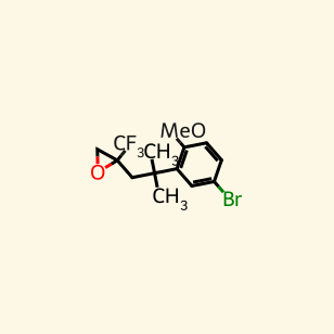 COc1ccc(Br)cc1C(C)(C)CC1(C(F)(F)F)CO1